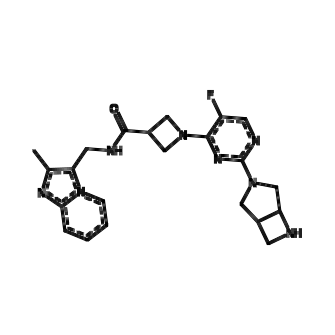 Cc1nc2ccccn2c1CNC(=O)C1CN(c2nc(N3CC4CNC4C3)ncc2F)C1